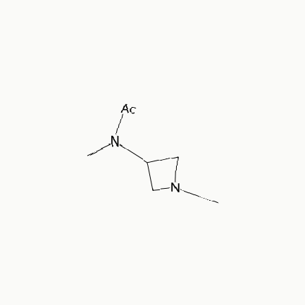 CC(=O)N(C)C1CN(C)C1